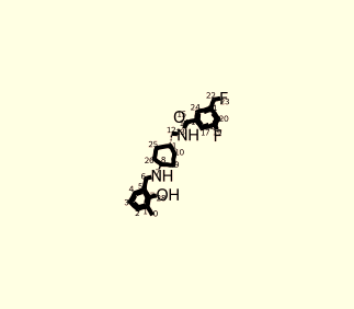 Cc1cccc(CN[C@H]2CC[C@@H](CNC(=O)c3cc(F)cc(CF)c3)CC2)c1O